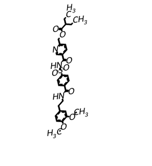 CCC(CC)C(=O)OCc1ccc(C(=O)NS(=O)(=O)c2ccc(C(=O)NCCc3ccc(OC)c(OC)c3)cc2)cn1